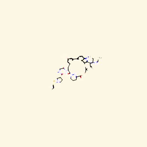 C=C/C(=C(\N=C/C)[C@H](C)OC)c1c2c3cc(ccc3n1CC)-c1cc(O)cc(c1)C[C@H](NC(=O)[C@H](C(C)C)N(C)C(=O)[C@H]1CCN(S(=O)(=O)/C=C/C)C1)C(=O)N1CCC[C@H](N1)C(=O)OCC(C)(C)C2